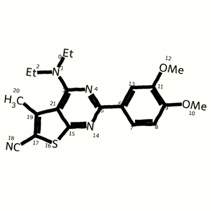 CCN(CC)c1nc(-c2ccc(OC)c(OC)c2)nc2sc(C#N)c(C)c12